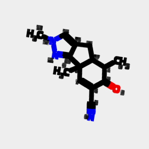 CC1C(=O)C(C#N)=CC2(C)c3nn(C)cc3CC12